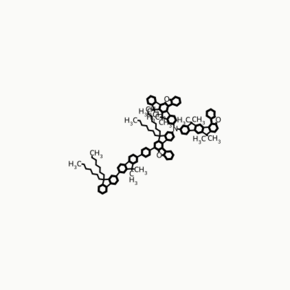 CCCCCCCC1(CCCCCCC)c2ccccc2-c2ccc(-c3ccc4c(c3)C(C)(C)c3cc(-c5ccc(-c6cc7c(c8c6oc6ccccc68)-c6ccc(N(c8ccc9c(c8)C(C)(C)c8cc%10c(cc8-9)C(C)(C)c8ccc9oc%11ccccc%11c9c8-%10)c8ccc9c(c8)C(C)(C)c8c%10c(c%11oc%12ccccc%12c%11c8-9)-c8ccccc8C%10(C)C)cc6C7(CCCCCCC)CCCCCCC)cc5)ccc3-4)cc21